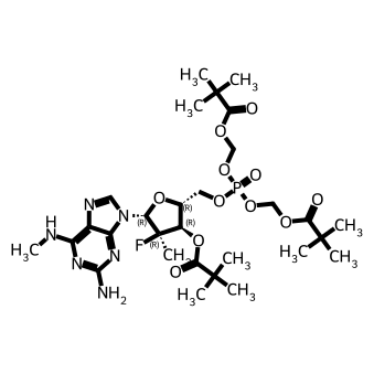 CNc1nc(N)nc2c1ncn2[C@@H]1O[C@H](COP(=O)(OCOC(=O)C(C)(C)C)OCOC(=O)C(C)(C)C)[C@@H](OC(=O)C(C)(C)C)[C@@]1(C)F